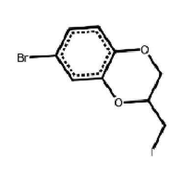 Brc1ccc2c(c1)OC(CI)CO2